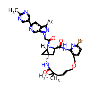 CC(=O)c1nn(CC(=O)N2[C@H]3C[C@@]4(CNC(=O)C(C)(C)C/C=C/COCc5ccc(Br)nc5NC3=O)C[C@@H]24)c2cnc(-c3cnc(C)nc3)cc12